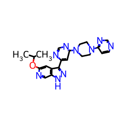 CC(C)Oc1cc2c(-c3cc(N4CCN(c5ccncn5)CC4)ncn3)n[nH]c2cn1